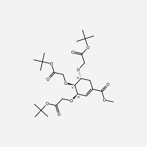 COC(=O)C1=C[C@@H](OCC(=O)OC(C)(C)C)[C@@H](OCC(=O)OC(C)(C)C)[C@H](OCC(=O)OC(C)(C)C)C1